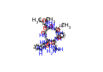 CCCCC[C@@H]1NC(=O)[C@@H](NC(=O)[C@H](CCCC)NC(C)=O)CCC(=O)NCC[C@@H](C(=O)N[C@@H](Cc2c[nH]c3ccccc23)C(N)=O)NC(=O)[C@H](CCCNC(=N)N)NC(=O)C(c2ccccc2)NC1=O